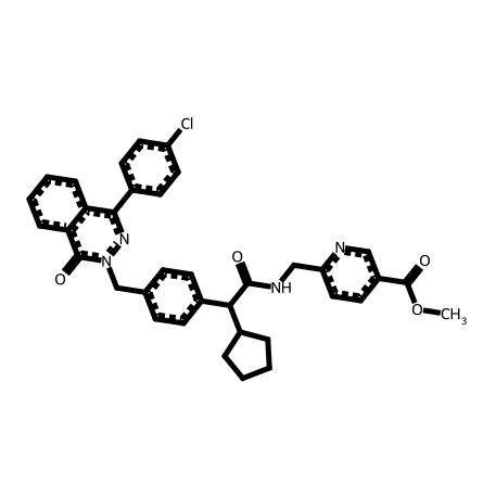 COC(=O)c1ccc(CNC(=O)C(c2ccc(Cn3nc(-c4ccc(Cl)cc4)c4ccccc4c3=O)cc2)C2CCCC2)nc1